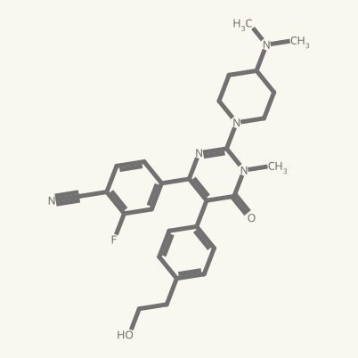 CN(C)C1CCN(c2nc(-c3ccc(C#N)c(F)c3)c(-c3ccc(CCO)cc3)c(=O)n2C)CC1